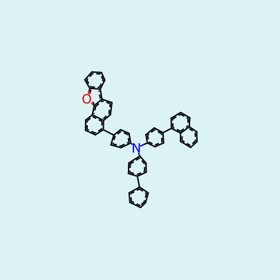 c1ccc(-c2ccc(N(c3ccc(-c4cccc5ccccc45)cc3)c3ccc(-c4cccc5c4ccc4c6ccccc6oc54)cc3)cc2)cc1